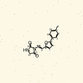 Cc1ccc(-c2ccc(C=NN3C(=O)CNC3=O)o2)cc1